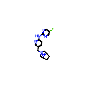 CN1C2CCC1CN(Cc1ccc(Nc3ncc(F)cn3)nc1)C2